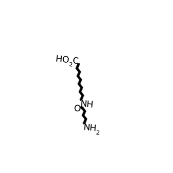 NCCCCC(=O)NCCCCCCCCCCC(=O)O